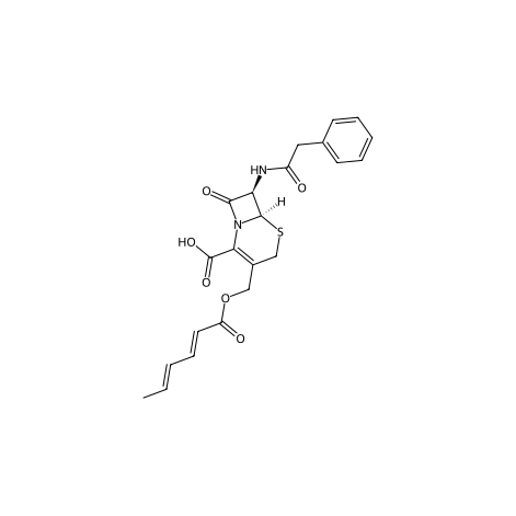 C/C=C/C=C/C(=O)OCC1=C(C(=O)O)N2C(=O)[C@@H](NC(=O)Cc3ccccc3)[C@H]2SC1